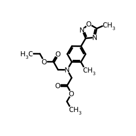 CCOC(=O)CN(CC(=O)OCC)c1ccc(-c2noc(C)n2)cc1C